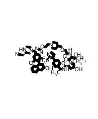 C[C@H](NC(=O)[C@@H]1C[C@@H](O)CN1C(=O)[C@@H](NC(=O)COCC1CCN(CCOc2nc(N3CCN[C@@H](CC#N)C3)c3cc(Cl)c(-c4cc(O)cc5ccccc45)c(F)c3n2)CC1)C(C)(C)C)c1ccc(-c2ccnn2C)cc1